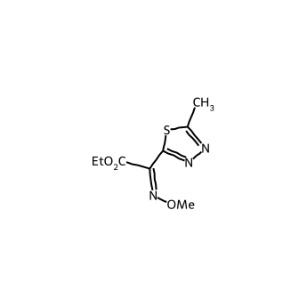 CCOC(=O)/C(=N/OC)c1nnc(C)s1